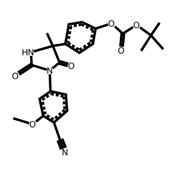 COc1cc(N2C(=O)NC(C)(c3ccc(OC(=O)OC(C)(C)C)cc3)C2=O)ccc1C#N